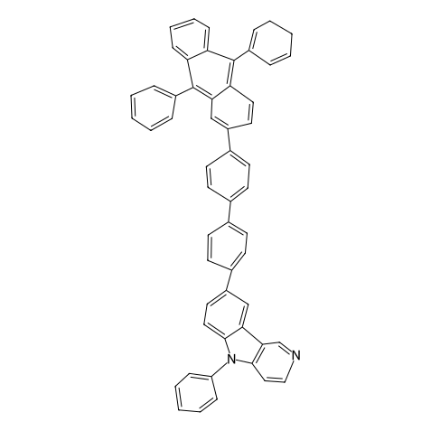 C1=CC(c2c3ccccc3c(-c3ccccc3)c3cc(-c4ccc(-c5ccc(-c6ccc7c(c6)c6cnccc6n7-c6ccccc6)cc5)cc4)ccc23)=CCC1